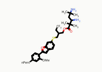 CCCCCc1ccc(-c2cc3ccc(SCC(COC(=O)C(C)(C)C(N)CC(C)(C)N)CC(F)(F)F)cc3o2)c(OC)c1